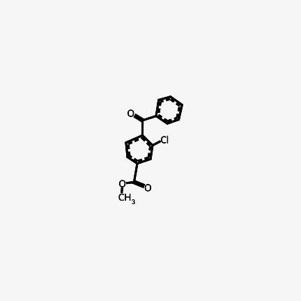 COC(=O)c1ccc(C(=O)c2ccccc2)c(Cl)c1